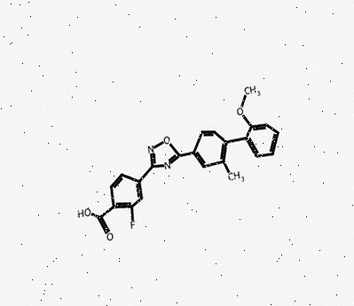 COc1ccccc1-c1ccc(-c2nc(-c3ccc(C(=O)O)c(F)c3)no2)cc1C